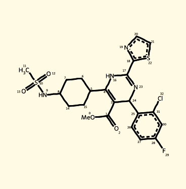 COC(=O)C1=C(C2CCC(NS(C)(=O)=O)CC2)NC(c2nccs2)=NC1c1ccc(F)cc1Cl